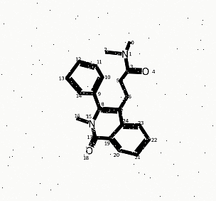 CN(C)C(=O)CCc1c(-c2ccccc2)n(C)c(=O)c2ccccc12